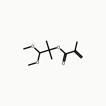 C=C(C)C(=O)OC(C)(C)C(OC)OC